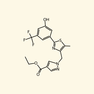 CCOC(=O)c1cnn(Cc2nc(-c3cc(O)cc(C(F)(F)F)c3)sc2C)c1